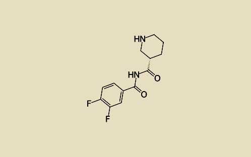 O=C(NC(=O)[C@H]1CCCNC1)c1ccc(F)c(F)c1